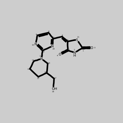 O=C1NC(=O)/C(=C\c2ccnc(N3CCCC(CO)C3)n2)S1